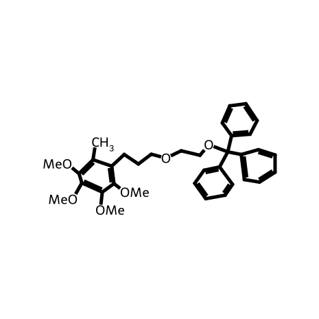 COc1c(C)c(CCCOCCOC(c2ccccc2)(c2ccccc2)c2ccccc2)c(OC)c(OC)c1OC